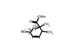 COC(=O)C(C)(C)C(C)/C=C\C(C)C(C)(C)C